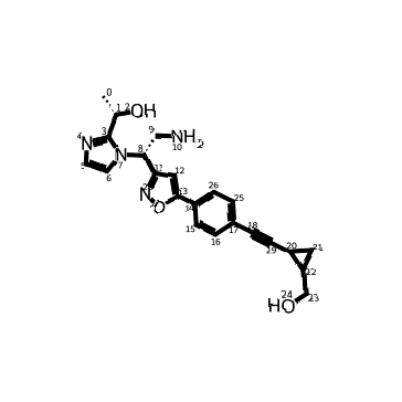 C[C@H](O)c1nccn1[C@H](CN)c1cc(-c2ccc(C#CC3CC3CO)cc2)on1